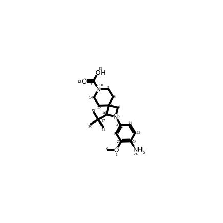 COc1cc(N2CC3(CCN(C(=O)O)CC3)C2C(C)(C)C)ccc1N